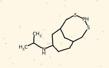 CC(C)NC1CCC2CSPSCC(C2)C1